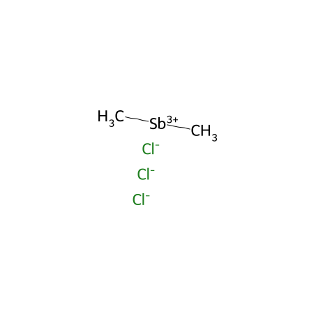 [CH3][Sb+3][CH3].[Cl-].[Cl-].[Cl-]